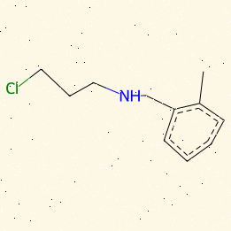 Cc1ccccc1CNCCCCl